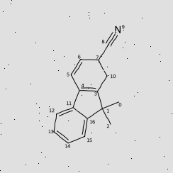 CC1(C)C2=C(C=CC(C#N)C2)c2ccccc21